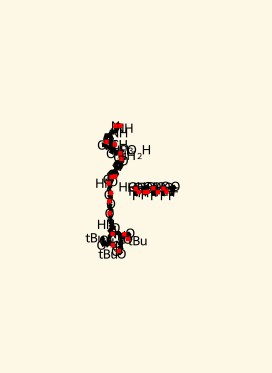 CN1c2cc(CNc3ncc[nH]3)ccc2C(=O)CC1C(=O)NCC(NS(=O)(=O)c1ccc(-c2ccc(S(=O)(=O)NCCCOCCOCCOCCCNC(=O)CN3CCN(CC(=O)OC(C)(C)C)CCN(CC(=O)OC(C)(C)C)CCN(CC(=O)OC(C)(C)C)CC3)cc2)cc1)C(=O)O.O=C(O)C(F)(F)F.O=C(O)C(F)(F)F.O=C(O)C(F)(F)F.O=C(O)C(F)(F)F.O=C(O)C(F)(F)F